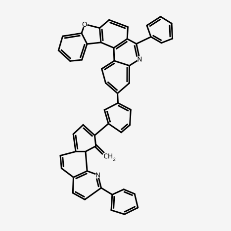 C=C1C(c2cccc(-c3ccc4c(c3)nc(-c3ccccc3)c3ccc5oc6ccccc6c5c34)c2)=CC=C2C=Cc3ccc(-c4ccccc4)nc3C12